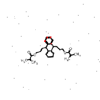 C=C(C)C(=O)OCCCC12c3ccccc3C(CCCOC(=O)C(=C)C)(c3ccccc31)c1ccccc12